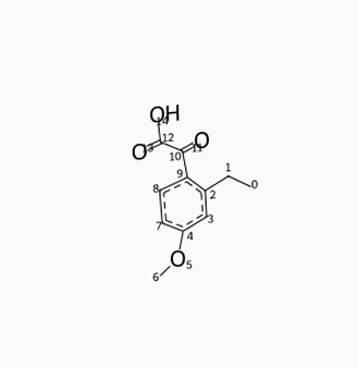 CCc1cc(OC)ccc1C(=O)C(=O)O